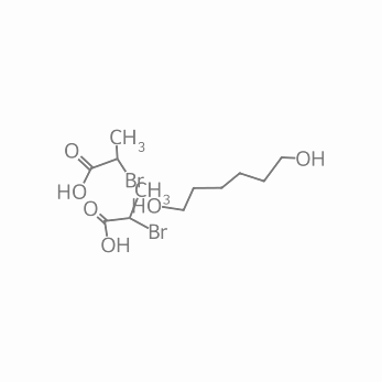 CC(Br)C(=O)O.CC(Br)C(=O)O.OCCCCCCO